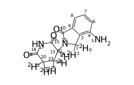 [2H]C1([2H])c2c(N)cccc2C(=O)N1[C@]1([2H])C(=O)NC(=O)C([2H])([2H])C1([2H])[2H]